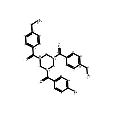 CCc1ccc(C(=O)N2CN(C(=O)c3ccc(CC(C)C)cc3)CN(C(=O)c3ccc(CC(C)CC)cc3)C2)cc1